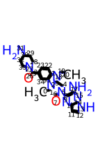 CCn1c(CN(C=O)c2nc3cc[nH]c3nc2N)[n+](CC)c2ccc(C(=O)N3CCC(N)CC3)cc21